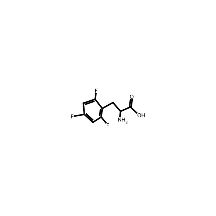 NC(Cc1c(F)cc(F)cc1F)C(=O)O